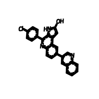 Oc1cc2c([nH]1)c(-c1ccc(Cl)cc1)nc1ccc(-c3cnc4ccccc4c3)cc12